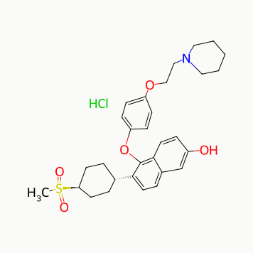 CS(=O)(=O)[C@H]1CC[C@H](c2ccc3cc(O)ccc3c2Oc2ccc(OCCN3CCCCC3)cc2)CC1.Cl